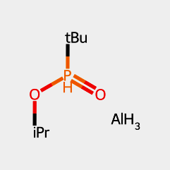 CC(C)O[PH](=O)C(C)(C)C.[AlH3]